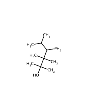 CC(C)C(P)C(C)(C)C(C)(C)O